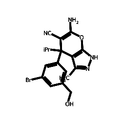 Cc1n[nH]c2c1C(c1cc(Br)cc(CO)c1)(C(C)C)C(C#N)=C(N)O2